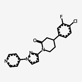 O=C1CC(c2ccc(Cl)c(F)c2)CCN1c1ccn(-c2ccncc2)n1